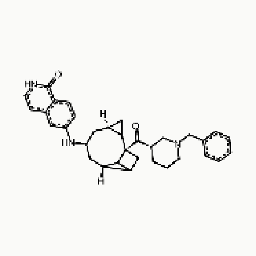 O=C([C@@H]1CCCN(Cc2ccccc2)C1)[C@@]12CC3C1[C@H]3C[C@@H](Nc1ccc3c(=O)[nH]ccc3c1)C[C@H]1CC12